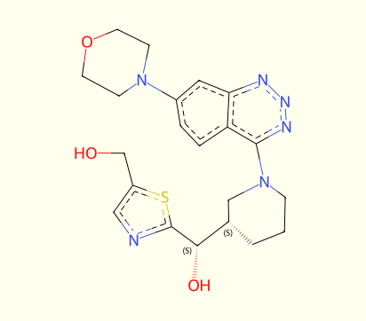 OCc1cnc([C@@H](O)[C@H]2CCCN(c3nnnc4cc(N5CCOCC5)ccc34)C2)s1